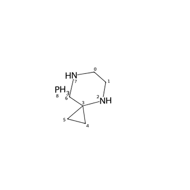 C1CNC2(CC2)CN1.P